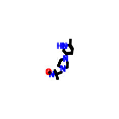 CC1=CC=C(N2CCN(CC(C)(C)N=O)CC2)CN1